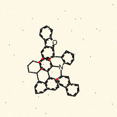 c1ccc(N(c2ccc3ccccc3c2)c2ccccc2-c2cccc3cccc(C4CCCCC4)c23)c(-c2cccc3c2oc2ccccc23)c1